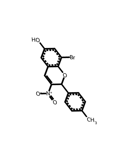 Cc1ccc(C2Oc3c(Br)cc(O)cc3C=C2[N+](=O)[O-])cc1